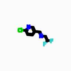 FC(F)CN=Cc1ccc(Cl)nc1